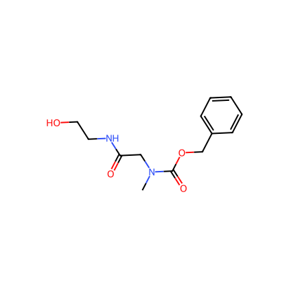 CN(CC(=O)NCCO)C(=O)OCc1ccccc1